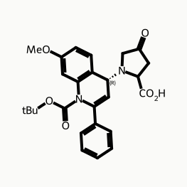 COc1ccc2c(c1)N(C(=O)OC(C)(C)C)C(c1ccccc1)=C[C@H]2N1CC(=O)CC1C(=O)O